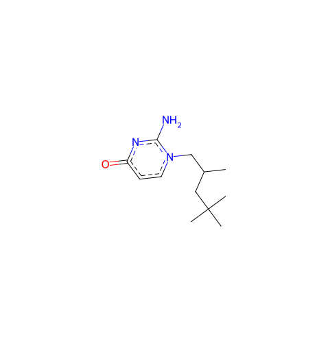 CC(Cn1ccc(=O)nc1N)CC(C)(C)C